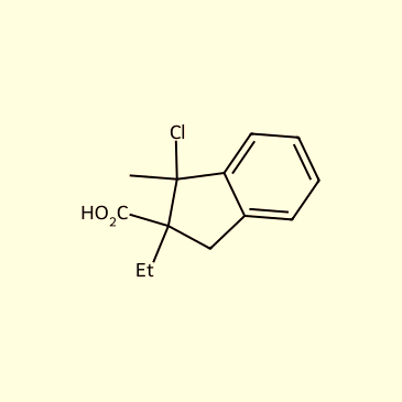 CCC1(C(=O)O)Cc2ccccc2C1(C)Cl